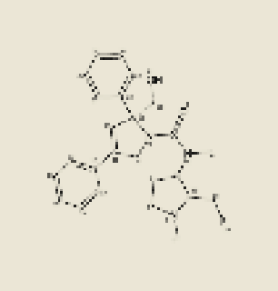 CN1CCC(N(C)C(=O)N2CC(c3ccccc3)=C[C@@]2(CO)c2ccccc2)C1CF